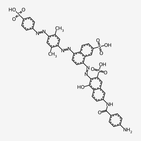 Cc1cc(N=Nc2ccc(N=Nc3c(S(=O)(=O)O)cc4cc(NC(=O)c5ccc(N)cc5)ccc4c3O)c3cc(S(=O)(=O)O)ccc23)c(C)cc1N=Nc1ccc(S(=O)(=O)O)cc1